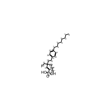 CCCCCCCCc1ccc(CCC(C=CP(=O)(O)O)(CF)N=[N+]=[N-])cc1